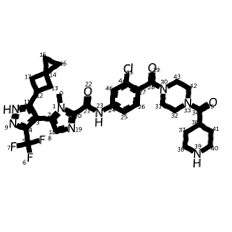 Cn1c(-c2c(C(F)(F)F)n[nH]c2C2CC3(CC3)C2)cnc1C(=O)Nc1ccc(C(=O)N2CCN(C(=O)C3CCNCC3)CC2)c(Cl)c1